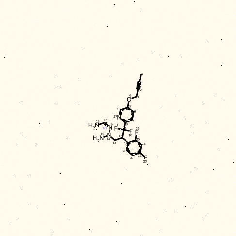 CC#CCOc1ccc(C(F)(F)C(CN(N)/N=C\N)c2ccc(F)cc2F)nc1